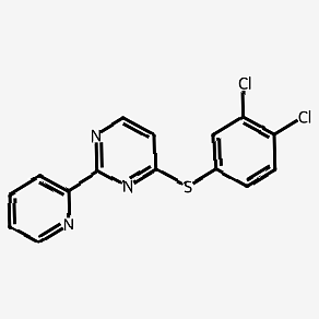 Clc1ccc(Sc2ccnc(-c3ccccn3)n2)cc1Cl